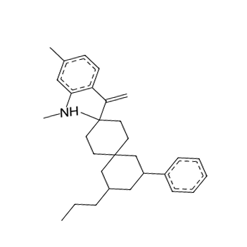 C=C(c1ccc(C)cc1NC)C1(C)CCC2(CC1)CC(CCC)CC(c1ccccc1)C2